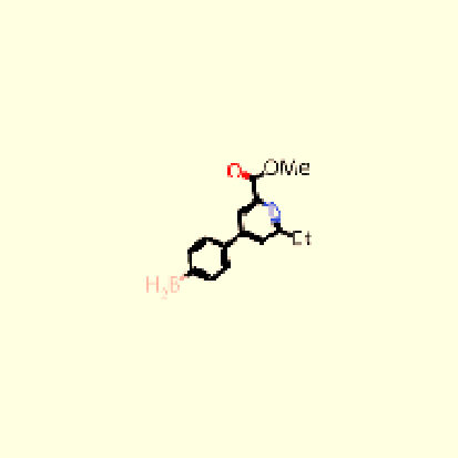 Bc1ccc(-c2cc(CC)nc(C(=O)OC)c2)cc1